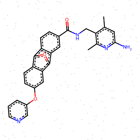 Cc1cc(N)nc(C)c1CNC(=O)c1ccc2c(c1)c1oc2c2ccc(Oc3cccnc3)cc21